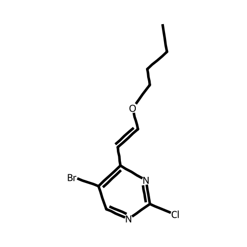 CCCCO/C=C/c1nc(Cl)ncc1Br